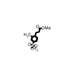 COC(=O)CCc1ccc(S(C)(=O)=O)cc1C